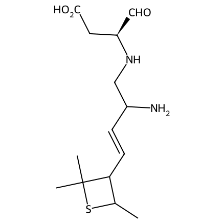 CC1SC(C)(C)C1/C=C/C(N)CN[C@H](C=O)CC(=O)O